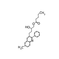 CCCCC(=O)OCC(O)CCc1cc2cc(C)ccc2nc1-c1ccccc1